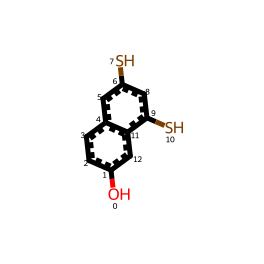 Oc1ccc2cc(S)cc(S)c2c1